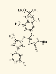 CCOC(=O)C(C)(C)Oc1c(C)cc(CN(CC(=O)OC(C)(C)C)Cc2nc(-c3cccc(Cl)c3)oc2C)cc1C